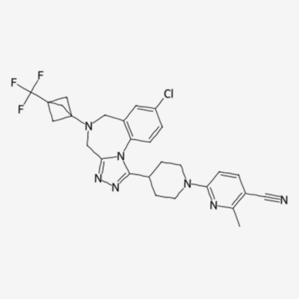 Cc1nc(N2CCC(c3nnc4n3-c3ccc(Cl)cc3CN(C35CC(C(F)(F)F)(C3)C5)C4)CC2)ccc1C#N